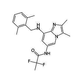 Cc1cccc(C)c1CNc1cc(NC(=O)C(C)(F)F)cn2c(C)c(C)nc12